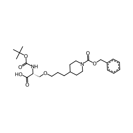 CC(C)(C)OC(=O)N[C@H](COCCCC1CCN(C(=O)OCc2ccccc2)CC1)C(=O)O